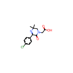 CC1(C)CN(CC(=O)O)C(=O)C(c2ccc(Cl)cc2)=N1